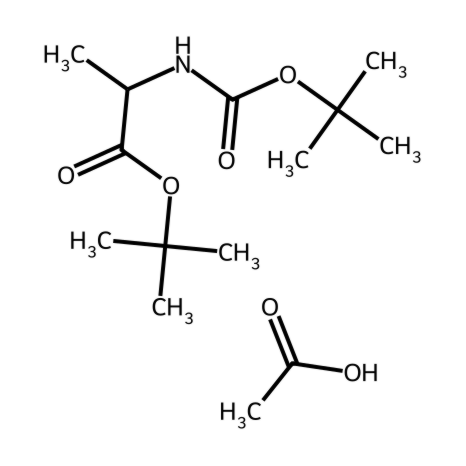 CC(=O)O.CC(NC(=O)OC(C)(C)C)C(=O)OC(C)(C)C